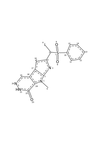 Cn1c2nc(C(I)S(=O)(=O)c3ccccc3)sc2c2cn[nH]c(=O)c21